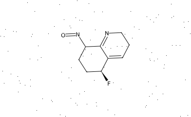 O=NC1CC[C@H](F)C2=CCCN=C21